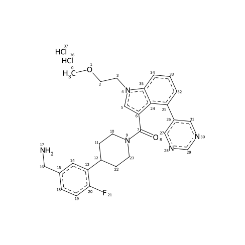 COCCn1cc(C(=O)N2CCC(c3cc(CN)ccc3F)CC2)c2c(-c3cncnc3)cccc21.Cl.Cl